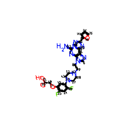 Nc1nc2c(ncn2CCN2CCN(c3cc(OCC(=O)O)c(F)cc3F)CC2)c2nc(-c3ccco3)nn12